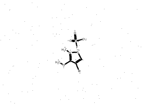 COc1c(Br)cs[n+]1C.O=S(=O)([O-])F